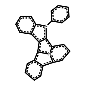 c1ccc(-n2c3ccccc3c3c2c2cccc4c5ccccc5c3n42)cc1